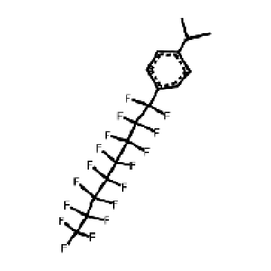 C[C](C)c1ccc(C(F)(F)C(F)(F)C(F)(F)C(F)(F)C(F)(F)C(F)(F)C(F)(F)C(F)(F)F)cc1